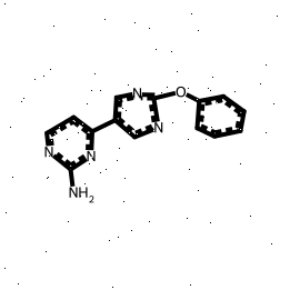 Nc1nccc(-c2cnc(Oc3ccccc3)nc2)n1